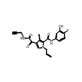 C#CCNC(=O)C(=O)c1cn(CC=C)c(C(=O)Nc2ccc(F)c(C#N)c2)c1C